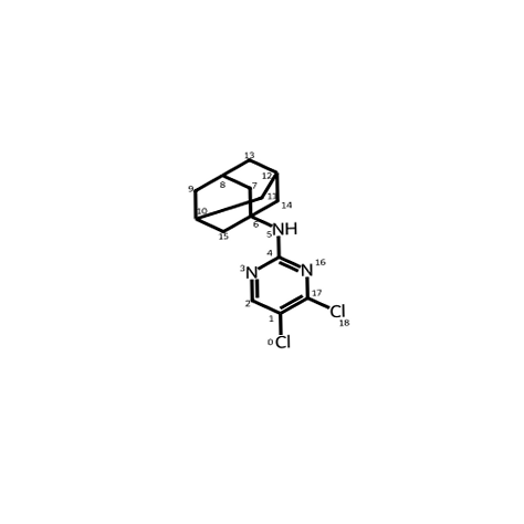 Clc1cnc(NC23CC4CC(CC(C4)C2)C3)nc1Cl